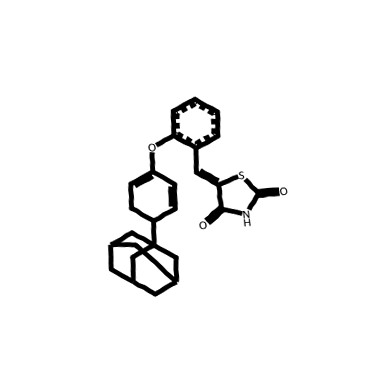 O=C1NC(=O)/C(=C/c2ccccc2OC2=CCC(C34CC5CC(CC(C5)C3)C4)C=C2)S1